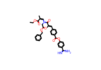 CCOC(=O)C(C)=CN(CC(=O)OCc1ccccc1)C(=O)C(C)=Cc1ccc(C(=O)Oc2ccc(C(=N)N)cc2)cc1